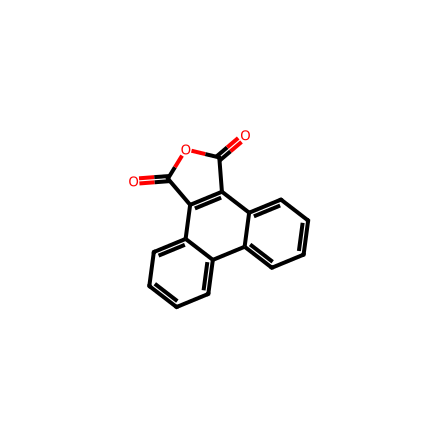 O=C1OC(=O)c2c1c1ccccc1c1ccccc21